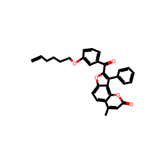 C=CCCCCOc1cccc(C(=O)c2oc3ccc4c(C)cc(=O)oc4c3c2-c2ccccc2)c1